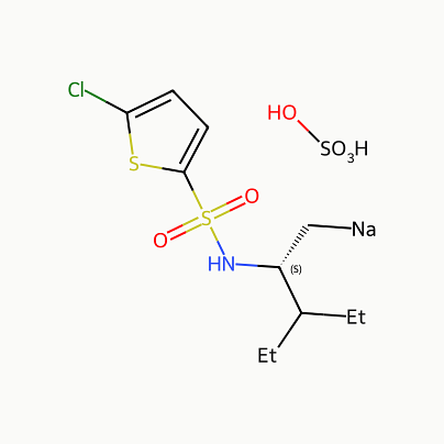 CCC(CC)[C@@H]([CH2][Na])NS(=O)(=O)c1ccc(Cl)s1.O=S(=O)(O)O